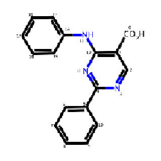 O=C(O)c1cnc(-c2ccccc2)nc1Nc1ccccc1